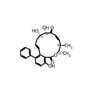 C[C@@H]1/C=C\C(=O)[C@@H](O)[C@@H](O)C/C=C/c2c(-c3ccccc3)ccc(O)c2C(=O)O[C@H]1C